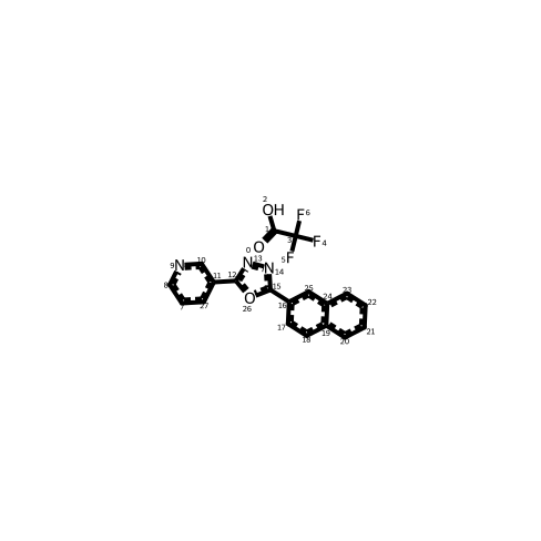 O=C(O)C(F)(F)F.c1cncc(-c2nnc(-c3ccc4ccccc4c3)o2)c1